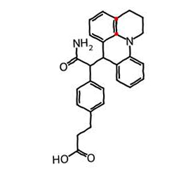 NC(=O)C(c1ccc(CCC(=O)O)cc1)C(c1ccccc1)c1ccccc1N1CCCCC1